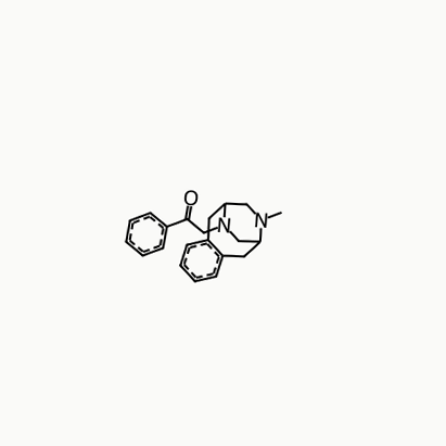 CN1CC2Cc3ccccc3CC1CN2CC(=O)c1ccccc1